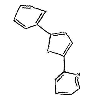 c1ccc(-c2ccc(-c3ccccn3)s2)cc1